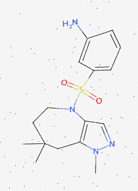 Cn1ncc2c1CC(C)(C)CCN2S(=O)(=O)c1cccc(N)c1